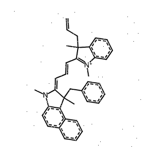 C=CCC1(C)C(/C=C/C=C2/N(C)c3ccc4ccccc4c3C2(C)Cc2ccccc2)=[N+](C)c2ccccc21